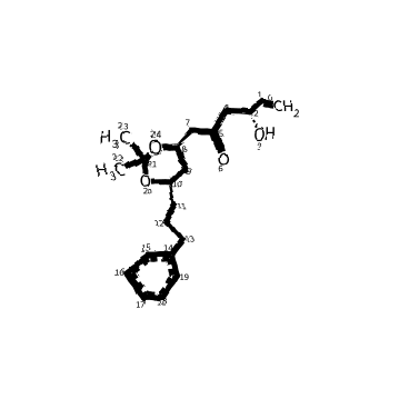 C=C[C@H](O)CC(=O)C[C@H]1C[C@@H](CCCc2ccccc2)OC(C)(C)O1